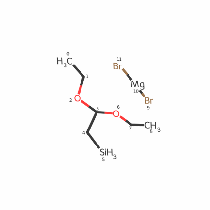 CCOC([CH][SiH3])OCC.[Br][Mg][Br]